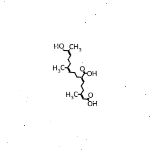 C/C(=C/CC/C(C)=C\CC/C(=C\CC/C(C)=C\C(=O)O)C(=O)O)CO